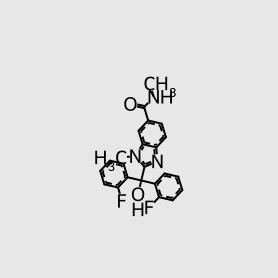 CNC(=O)c1ccc2nc(C(O)(c3ccccc3F)c3ccccc3F)n(C)c2c1